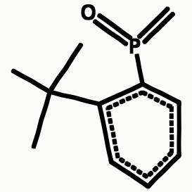 C=P(=O)c1ccccc1C(C)(C)C